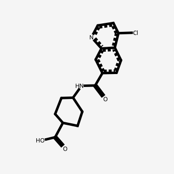 O=C(NC1CCC(C(=O)O)CC1)c1ccc2c(Cl)ccnc2c1